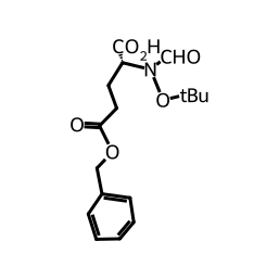 CC(C)(C)ON(C=O)[C@H](CCC(=O)OCc1ccccc1)C(=O)O